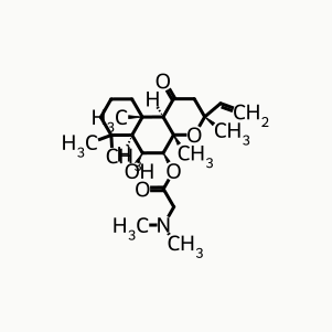 C=C[C@@]1(C)CC(=O)[C@@H]2[C@@]3(C)CCCC(C)(C)[C@@H]3[C@H](O)[C@H](OC(=O)CN(C)C)[C@@]2(C)O1